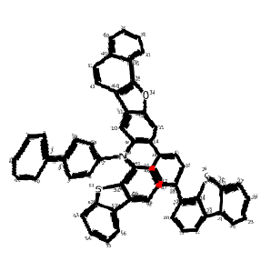 c1ccc(-c2ccc(N(c3cc4c(cc3-c3ccc(-c5cccc6c5sc5ccccc56)cc3)oc3c5ccccc5ccc43)c3cccc4c3sc3ccccc34)cc2)cc1